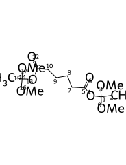 COC(C)(OC)OC(=O)CCCCC(=O)OC(C)(OC)OC